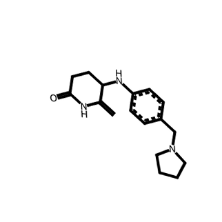 C=C1NC(=O)CCC1Nc1ccc(CN2CCCC2)cc1